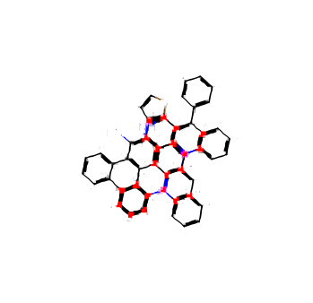 Nc1c(N)c(-c2cccc(-c3ccccc3)c2-c2cccs2)c(-c2ccccc2N(c2ccccc2)c2ccccc2)c(-c2ccccc2N(c2ccccc2)c2ccccc2)c1-c1ccccc1-c1ccccc1